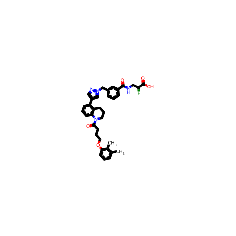 Cc1cccc(OCCCC(=O)N2CCCc3c(-c4cnn(Cc5cccc(C(=O)NCC(F)C(=O)O)c5)c4)cccc32)c1C